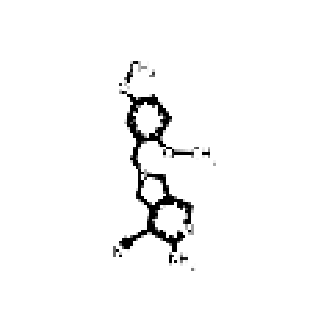 COc1ccc(OC)c(CN2Cc3cnc(N)c(C#N)c3C2)c1